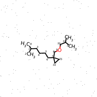 CC(C)CCCCC1(COCC(C)C)CC1